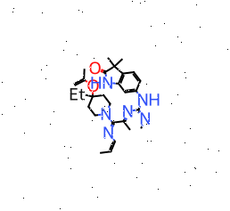 C=C(C)OC1(CC)CCN(C(=N/C=C\C)/C(C)=N/C(=N\C)Nc2ccc3c(c2)NC(=O)C3(C)C)CC1